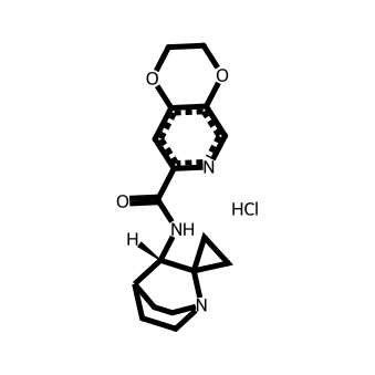 Cl.O=C(N[C@H]1C2CCN(CC2)C12CC2)c1cc2c(cn1)OCCO2